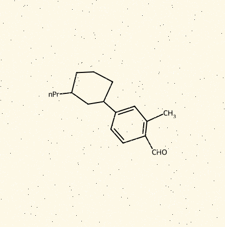 CCCC1CCCC(c2ccc(C=O)c(C)c2)C1